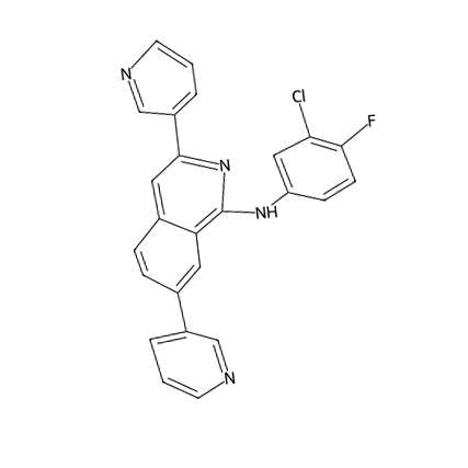 Fc1ccc(Nc2nc(-c3cccnc3)cc3ccc(-c4cccnc4)cc23)cc1Cl